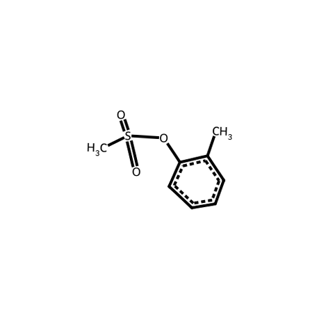 Cc1ccccc1OS(C)(=O)=O